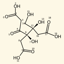 O=C(O)CC(=O)[C@@](O)(CC(=O)O)[C@](O)(CO)CC(=O)O